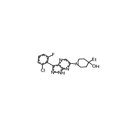 CCC1(O)CCN(c2cnc3c(-c4c(F)cccc4Cl)n[nH]c3n2)CC1